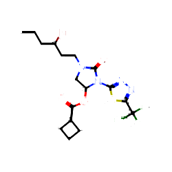 CCCC(Br)CCN1CC(OC(=O)C2CCC2)N(c2nnc(C(Cl)(Cl)Cl)s2)C1=O